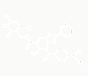 Cc1cc(C)c(CNC(=O)c2cc3cc(-c4cccnc4)cn3c(C(C)N3CCC(N(C)C)CC3)c2C)c(=O)[nH]1